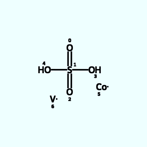 O=S(=O)(O)O.[Co].[V]